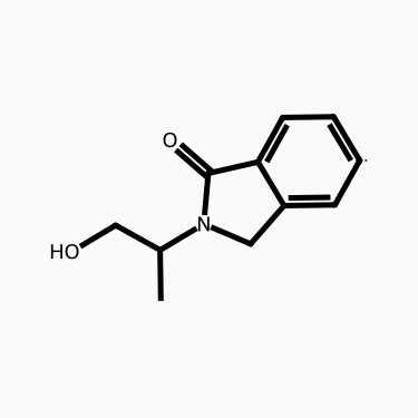 CC(CO)N1Cc2c[c]ccc2C1=O